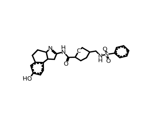 O=C(NC1=NC2CCc3cc(O)ccc3C2C1)C1CCC(CNS(=O)(=O)c2ccccc2)CC1